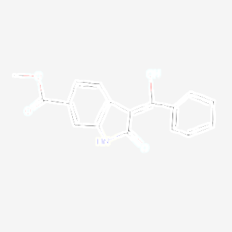 COC(=O)c1ccc2c(c1)NC(=O)C2=C(O)c1ccccc1